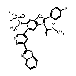 CNC(=O)c1c(-c2ccc(F)cc2)oc2cc(N(C)S(C)(=O)=O)c(-c3cnnc(-c4nc5ccccc5s4)c3)cc12